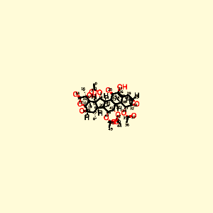 CC(=O)O[C@H]1[C@@H]2[C@H]([C@H](C)[C@@H]3O[C@@]34OC(=O)[C@@](C)(O)[C@]24C)[C@]2(C)[C@@H]1C1C(=O)C(O)=C3C[C@@H]4O[C@@H]4[C@H](OC(C)=O)[C@]3(C)[C@H]1[C@H](OC(C)=O)[C@@H]2OC(C)=O